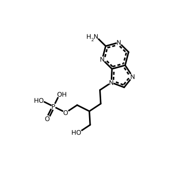 Nc1ncc2ncn(CCC(CO)COP(=O)(O)O)c2n1